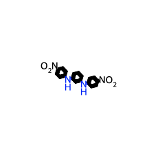 O=[N+]([O-])c1ccc(Nc2cccc(Nc3ccc([N+](=O)[O-])cc3)c2)cc1